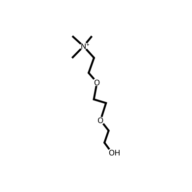 C[N+](C)(C)CCOCCOCCO